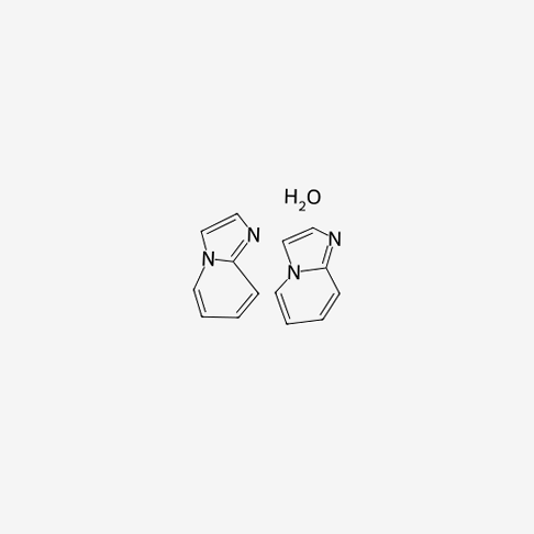 O.c1ccn2ccnc2c1.c1ccn2ccnc2c1